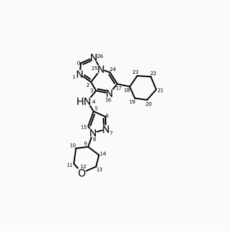 c1nc2c(Nc3cnn(C4CCOCC4)c3)nc(C3CCCCC3)cn2n1